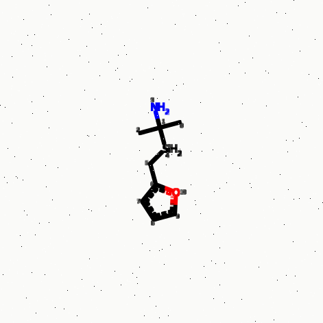 CC(C)(N)[SiH2]Cc1ccco1